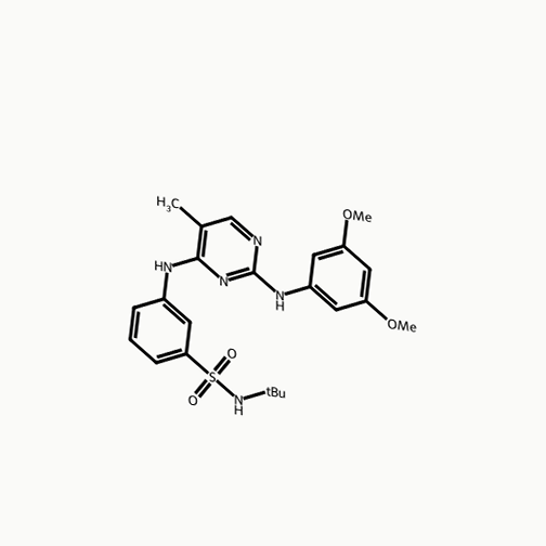 COc1cc(Nc2ncc(C)c(Nc3cccc(S(=O)(=O)NC(C)(C)C)c3)n2)cc(OC)c1